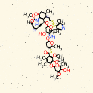 C#C/C=C\C#C[C@H](OC1CC(O)[C@H](NOC2CC[C@H](SC(=O)c3c(C)c(C)c(OC4C[C@H](OC)C(O)[C@H](C)O4)c(OC)c3OC)C(C)O2)C(C)O1)C1=C(NC(=O)OC)C(=O)CC(C)/C1=C/CSSc1c(C)cncc1C